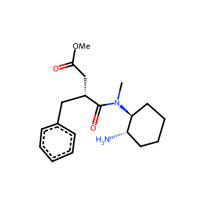 COC(=O)C[C@@H](Cc1ccccc1)C(=O)N(C)[C@H]1CCCC[C@@H]1N